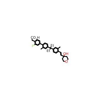 CCC(CC)(c1ccc(C=CC2(O)CCOCC2)c(C)c1)c1ccc(-c2ccc(CC(=O)O)c(F)c2)c(C)c1